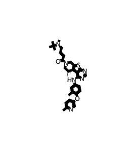 Cc1ccc(Oc2ccc(Nc3ncnc4sc5c(c34)[C@H](C)CN(C(=O)C=CCN(C)C(C)(C)C)C5)cc2C)cn1